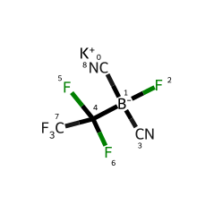 N#C[B-](F)(C#N)C(F)(F)C(F)(F)F.[K+]